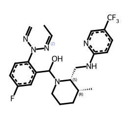 C=NN(/N=C\C)c1ccc(F)cc1C(O)N1CCC[C@@H](C)[C@H]1CNc1ccc(C(F)(F)F)cn1